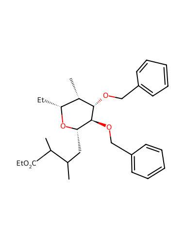 CCOC(=O)C(C)C(C)C[C@@H]1O[C@H](CC)[C@H](C)[C@H](OCc2ccccc2)[C@H]1OCc1ccccc1